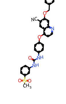 CS(=O)(=O)c1cccc(NC(=O)Nc2ccc(Oc3ccnc4cc(OCc5ccccc5)c(C#N)cc34)cc2)c1